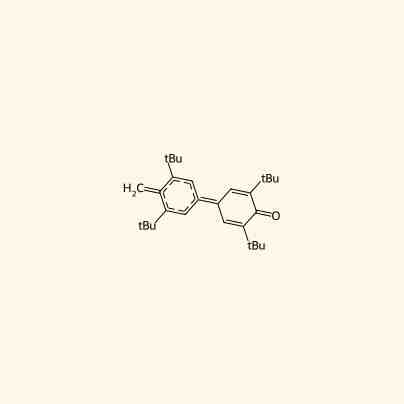 C=c1c(C(C)(C)C)cc(=C2C=C(C(C)(C)C)C(=O)C(C(C)(C)C)=C2)cc1C(C)(C)C